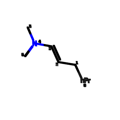 CCCC/C=C/N(C)C